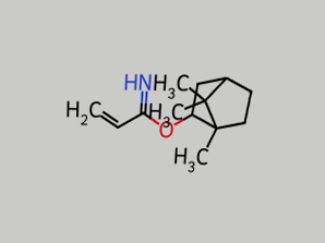 C=CC(=N)OC1CC2CCC1(C)C2(C)C